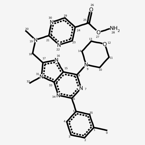 Cc1cccc(-c2nc(N3CCOCC3)c3nc(CN(C)c4ncc(C(=O)ON)cn4)n(C)c3n2)c1